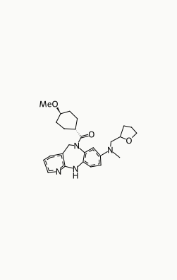 CO[C@H]1CC[C@H](C(=O)N2Cc3cccnc3Nc3ccc(N(C)CC4CCCO4)cc32)CC1